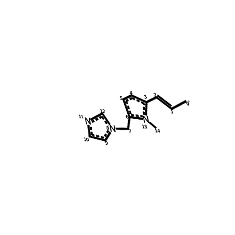 [CH2]/C=C/c1ccc(Cn2ccnc2)n1C